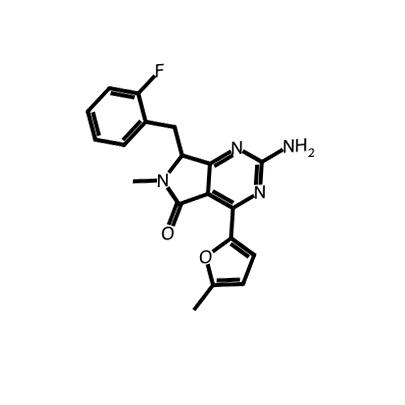 Cc1ccc(-c2nc(N)nc3c2C(=O)N(C)C3Cc2ccccc2F)o1